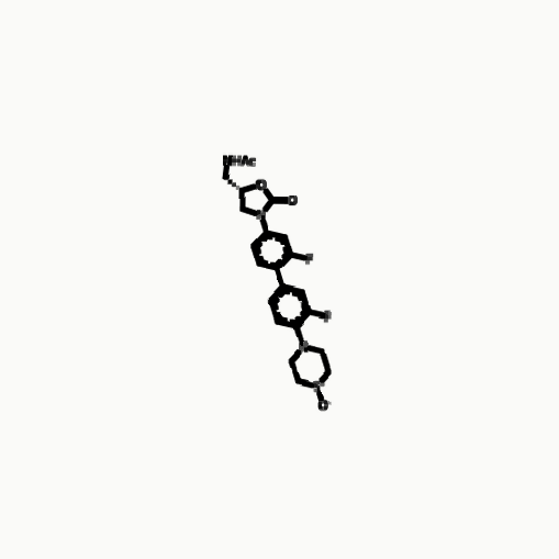 CC(=O)NC[C@H]1CN(c2ccc(-c3ccc(N4CC[S+]([O-])CC4)c(F)c3)c(F)c2)C(=O)O1